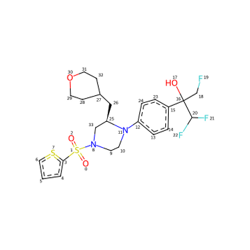 O=S(=O)(c1cccs1)N1CCN(c2ccc(C(O)(CF)C(F)F)cc2)[C@H](CC2CCOCC2)C1